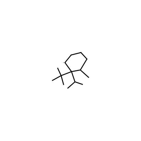 CC(C)C1(C(C)(C)C)[CH]CCCC1C